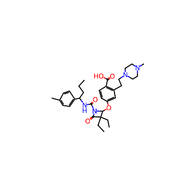 CCCC(NC(=O)N1C(=O)C(CC)(CC)C1Oc1ccc(C(=O)O)c(CCN2CCN(C)CC2)c1)c1ccc(C)cc1